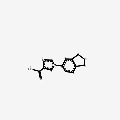 O=C(O)c1cn(-c2ccc3c(c2)CCC3)cn1